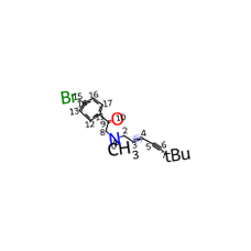 CN(C/C=C/C#CC(C)(C)C)CC(=O)c1ccc(Br)cc1